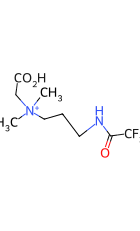 C[N+](C)(CCCNC(=O)C(F)(F)F)CC(=O)O